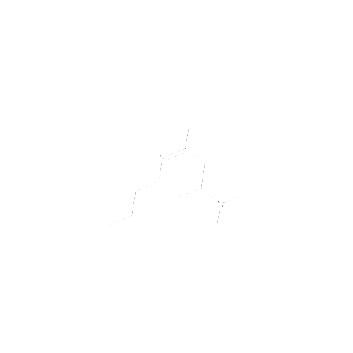 CCCO/N=C(/C)CC(C)N(C)C